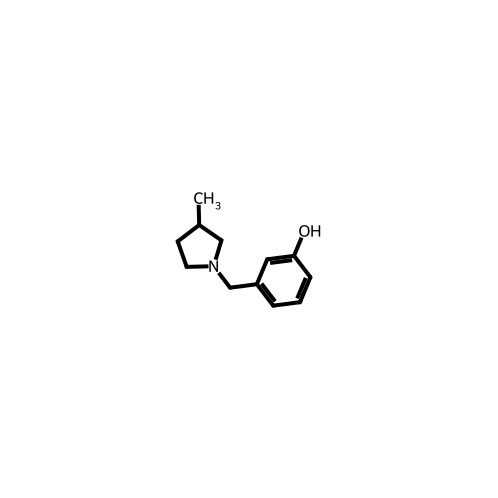 CC1CCN(Cc2cccc(O)c2)C1